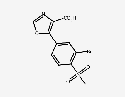 CS(=O)(=O)c1ccc(-c2ocnc2C(=O)O)cc1Br